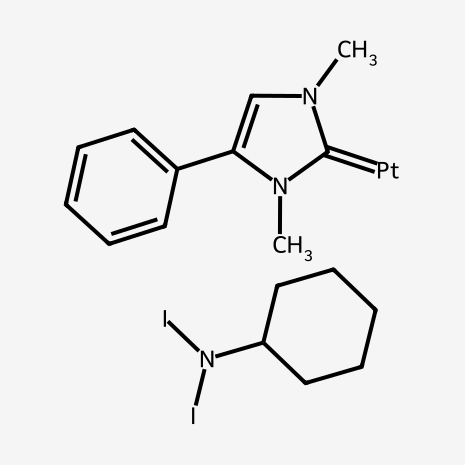 Cn1cc(-c2ccccc2)n(C)[c]1=[Pt].IN(I)C1CCCCC1